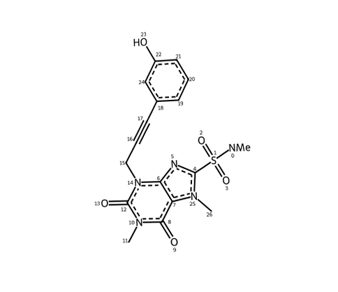 CNS(=O)(=O)c1nc2c(c(=O)n(C)c(=O)n2CC#Cc2cccc(O)c2)n1C